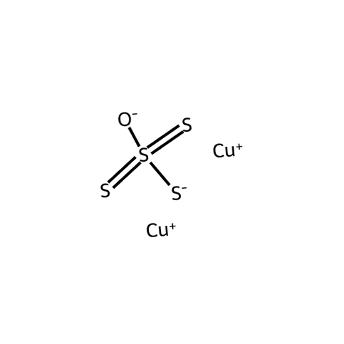 [Cu+].[Cu+].[O-]S(=S)(=S)[S-]